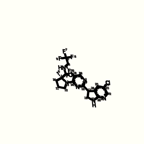 C[C@@]1(C(=O)NCC(F)(F)F)CCCN1c1nc(C2CNc3ncc(Cl)cc32)ncc1F